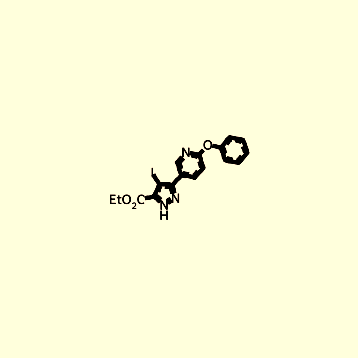 CCOC(=O)c1[nH]nc(-c2ccc(Oc3ccccc3)nc2)c1I